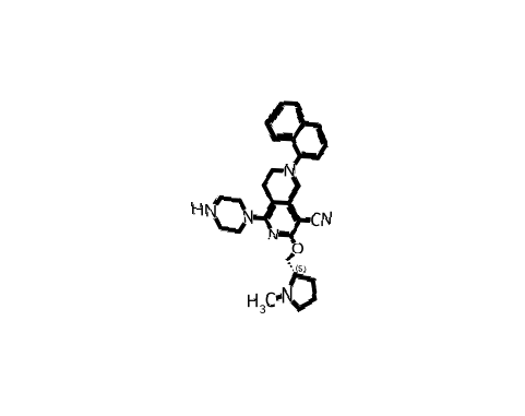 CN1CCC[C@H]1COc1nc(N2CCNCC2)c2c(c1C#N)CN(c1cccc3ccccc13)CC2